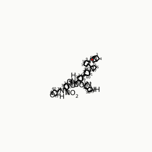 CN1C2CCC1CN(c1ccccc1C1CCCN1c1ccc(-c3ccc(C(=O)NS(=O)(=O)c4ccc(NCC5CCOCC5)c([N+](=O)[O-])c4)c(Oc4cnc5[nH]ccc5c4)c3)cc1)C2